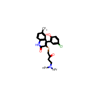 CCCN(CCC)CCC(=O)CSc1c(-c2cc(Cl)ccc2O)c2cc(C(F)(F)F)ccc2[nH]c1=O